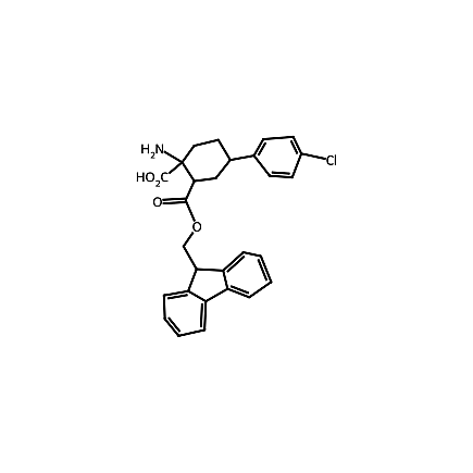 NC1(C(=O)O)CCC(c2ccc(Cl)cc2)CC1C(=O)OCC1c2ccccc2-c2ccccc21